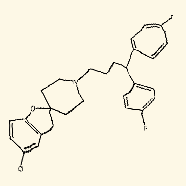 Fc1ccc(C(CCCN2CCC3(CC2)Cc2cc(Cl)ccc2O3)c2ccc(F)cc2)cc1